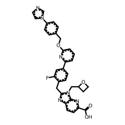 O=C(O)c1ccc2nc(Cc3ccc(-c4cccc(OCc5ccc(-n6ccnc6)cc5)n4)cc3F)n(CC3CCO3)c2n1